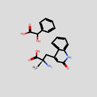 C[C@](N)(Cc1cc(=O)[nH]c2ccccc12)C(=O)O.O=C(O)C(O)c1ccccc1